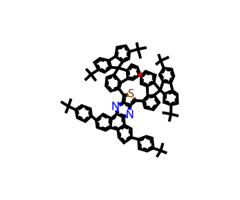 CC(C)(C)c1ccc(-c2ccc3c4ccc(-c5ccc(C(C)(C)C)cc5)cc4c4nc5c(-c6cccc7c6-c6ccccc6C76c7cc(C(C)(C)C)ccc7-c7ccc(C(C)(C)C)cc76)sc(-c6cccc7c6-c6ccccc6C76c7cc(C(C)(C)C)ccc7-c7ccc(C(C)(C)C)cc76)c5nc4c3c2)cc1